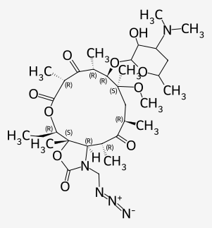 CC[C@H]1OC(=O)[C@H](C)C(=O)[C@H](C)[C@@H](OC2OC(C)CC(N(C)C)C2O)[C@@](C)(OC)C[C@@H](C)C(=O)[C@H](C)[C@H]2N(CN=[N+]=[N-])C(=O)O[C@]12C